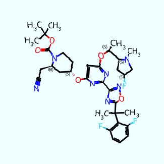 C[C@H](Oc1cc(O[C@H]2CCN(C(=O)OC(C)(C)C)[C@H](CC#N)C2)nc(-c2noc(C(C)(C)c3c(F)cccc3F)n2)n1)[C@@H]1C[C@H](F)CN1C